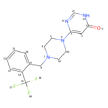 O=c1cc(N2CCN(Cc3ccccc3C(F)(F)F)CC2)nc[nH]1